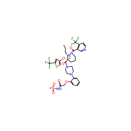 CCC[C@H]1N(C(=O)c2cnccc2C(F)(F)F)CCC[C@@]1(Oc1csc(C(F)(F)F)c1)C(=O)N1CCN(c2ccccc2OCC(=O)NS(C)(=O)=O)CC1